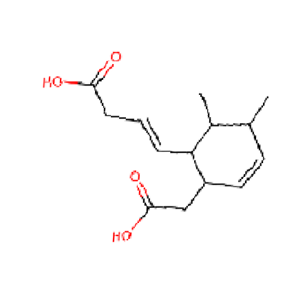 CC1C=CC(CC(=O)O)C(C=CCC(=O)O)C1C